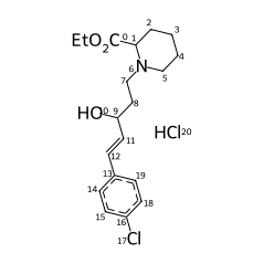 CCOC(=O)C1CCCCN1CCC(O)C=Cc1ccc(Cl)cc1.Cl